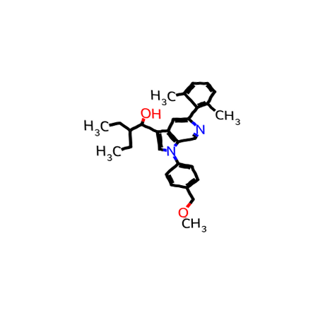 CCC(CC)C(O)c1cn(-c2ccc(COC)cc2)c2cnc(-c3c(C)cccc3C)cc12